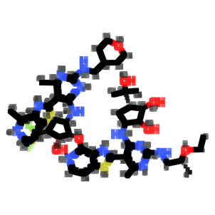 CCO[C@H](C)CNc1nc(C)c(-c2nc3c(O[C@@H]4[C@H](O)[C@@H](C(F)F)C[C@H]4Nc4nc(NCC5CCOCC5)nc(C)c4-c4nc5c(C)nccc5s4)nccc3s2)c(NC2C[C@H](C(C)(C)O)[C@@H](O)[C@H]2O)n1